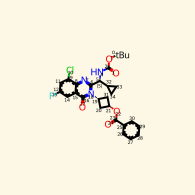 CC(C)(C)OC(=O)N[C@H](c1nc2c(Cl)cc(F)cc2c(=O)n1[C@H]1C[C@H](OC(=O)c2ccccc2)C1)C1CC1